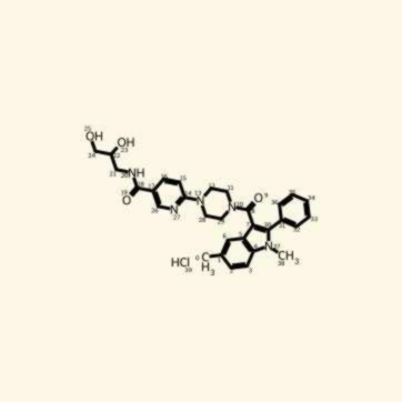 Cc1ccc2c(c1)c(C(=O)N1CCN(c3ccc(C(=O)NCC(O)CO)cn3)CC1)c(-c1ccccc1)n2C.Cl